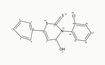 OC1C=C(c2ccccc2)SC(=S)N1c1ccccc1Cl